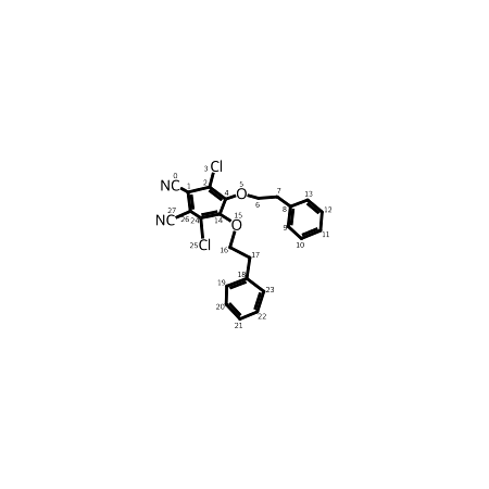 N#Cc1c(Cl)c(OCCc2ccccc2)c(OCCc2ccccc2)c(Cl)c1C#N